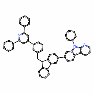 c1ccc(-c2cc(-c3cccc(CC4c5ccccc5-c5cc(-c6ccc7c8cccnc8n(-c8ccccc8)c7c6)ccc54)c3)cc(-c3ccccc3)n2)cc1